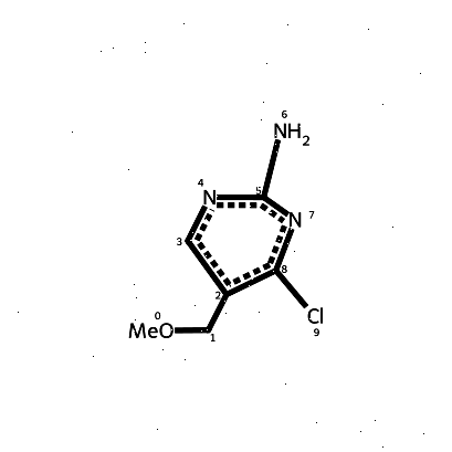 COCc1cnc(N)nc1Cl